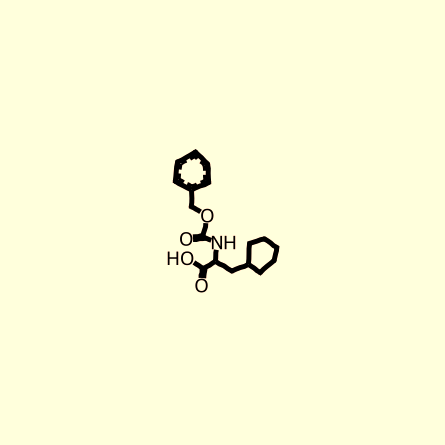 O=C(NC(CC1CCCCC1)C(=O)O)OCc1ccccc1